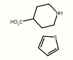 O=C(O)C1CCNCC1.c1ccsc1